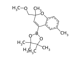 COCC1(C)C=C(B2OC(C)(C)C(C)(C)O2)c2cc(C)ccc2O1